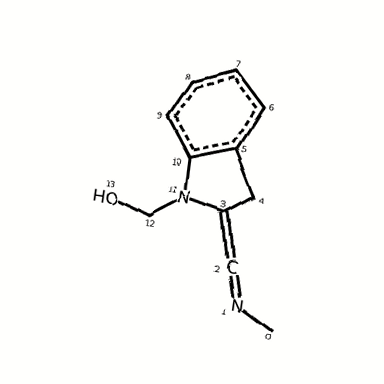 CN=C=C1Cc2ccccc2N1CO